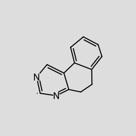 [c]1ncc2c(n1)CCc1ccccc1-2